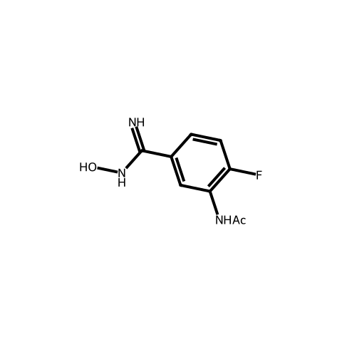 CC(=O)Nc1cc(C(=N)NO)ccc1F